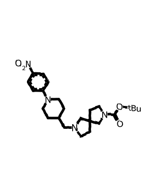 CC(C)(C)OC(=O)N1CCC2(CCN(CC3CCN(c4ccc([N+](=O)[O-])cc4)CC3)C2)C1